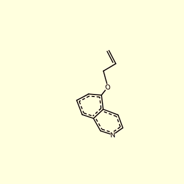 C=CCOc1cccc2cnccc12